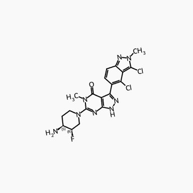 Cn1nc2ccc(-c3n[nH]c4nc(N5CC[C@H](N)[C@H](F)C5)n(C)c(=O)c34)c(Cl)c2c1Cl